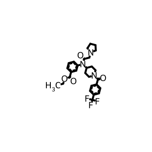 CCOC(=O)c1cccc(N(C(=O)CN2CCCC2)C2CCN(C(=O)c3ccc(C(F)(F)F)cc3)CC2)c1